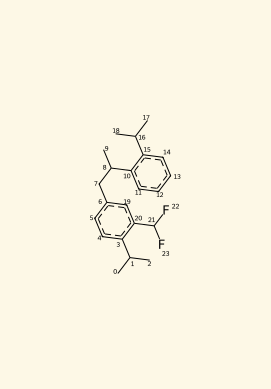 CC(C)c1ccc(CC(C)c2ccccc2C(C)C)cc1C(F)F